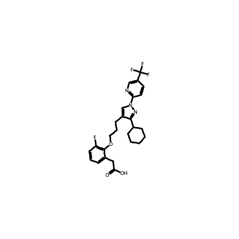 O=C(O)Cc1cccc(F)c1OCCCc1cn(-c2ccc(C(F)(F)F)cn2)nc1C1CCCCC1